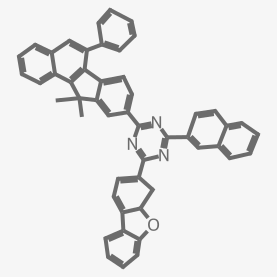 CC1(C)c2cc(-c3nc(C4=CC=C5c6ccccc6OC5C4)nc(-c4ccc5ccccc5c4)n3)ccc2-c2c(-c3ccccc3)cc3ccccc3c21